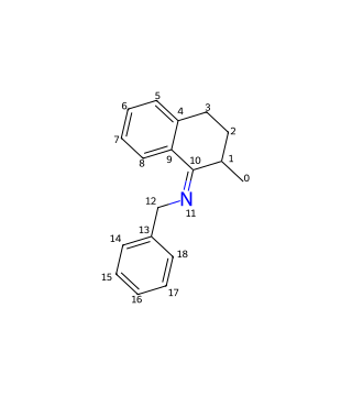 CC1CCc2ccccc2C1=NCc1ccccc1